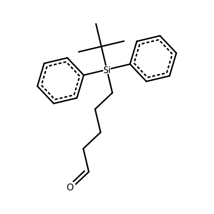 CC(C)(C)[Si](CCCCC=O)(c1ccccc1)c1ccccc1